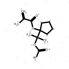 C=C(C)C(=O)OC1(C(OC(=O)C(C)C)(C(F)(F)F)C(F)(F)F)CCCC1